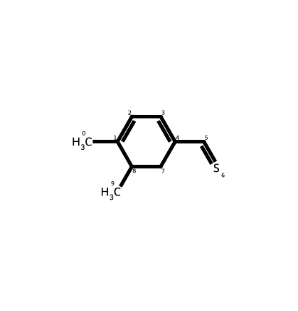 CC1=CC=C(C=S)CC1C